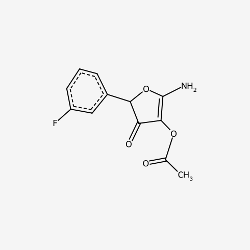 CC(=O)OC1=C(N)OC(c2cccc(F)c2)C1=O